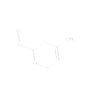 CCOC1CC(C)=CCO1